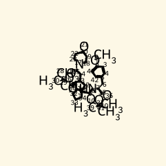 COc1ccc(C[C@H](NC(=O)C2(CC(CC(=O)N3CCC(=O)CC3)C(=O)OC(C)(C)C)CCCC2)C(=O)OC(C)(C)C)cc1